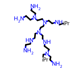 CC(C)CNCCN(CCN(CCN)CCN)CCN(CCNCCN)CCNCCN(CCN)CC(C)C